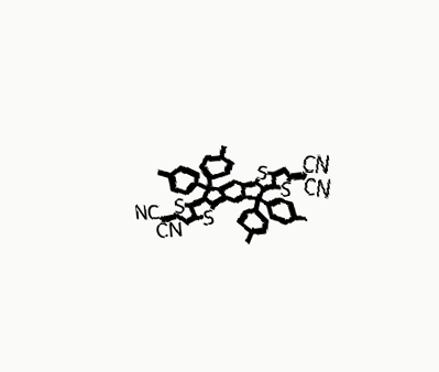 Cc1ccc(C2(c3ccc(C)cc3)c3cc4c(cc3=c3sc5cc(=C(C#N)C#N)sc5c32)C(c2ccc(C)cc2)(c2ccc(C)cc2)c2c=4sc3cc(=C(C#N)C#N)sc23)cc1